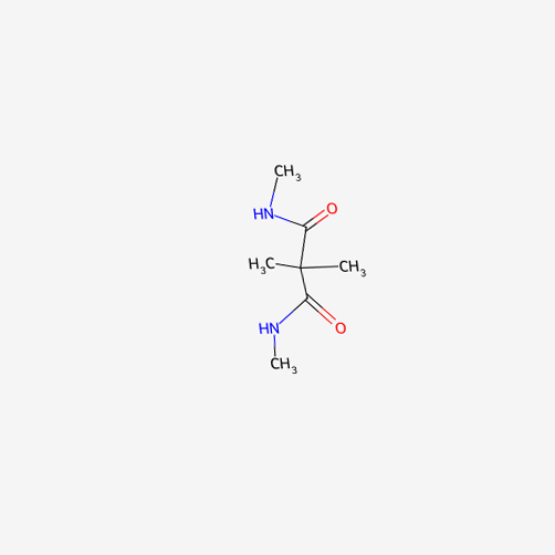 CNC(=O)C(C)(C)C(=O)NC